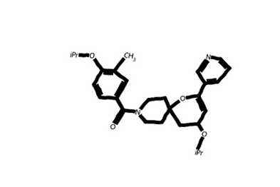 Cc1cc(C(=O)N2CCC3(CC2)CC(OC(C)C)C=C(c2cccnc2)O3)ccc1OC(C)C